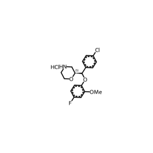 COc1cc(F)ccc1OC(c1ccc(Cl)cc1)[C@@H]1CNCCO1.Cl